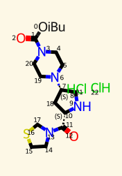 CC(C)COC(=O)N1CCN([C@@H]2CN[C@H](C(=O)N3CCSC3)C2)CC1.Cl.Cl